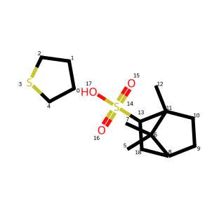 C1CCSC1.CC1(C)C2CCC1(C)C(S(=O)(=O)O)C2